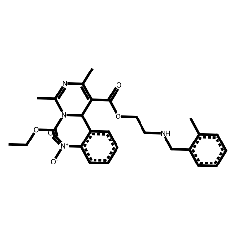 CCOC(=O)N1C(C)=NC(C)=C(C(=O)OCCNCc2ccccc2C)C1c1ccccc1[N+](=O)[O-]